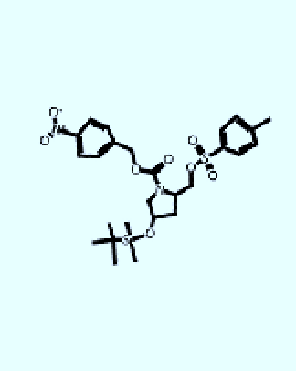 Cc1ccc(S(=O)(=O)OCC2CC(O[Si](C)(C)C(C)(C)C)CN2C(=O)OCc2ccc([N+](=O)[O-])cc2)cc1